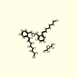 CCCCCC/C=C/c1ccccc1COCc1ccccc1/C=C/CCCCCC.CCOCC